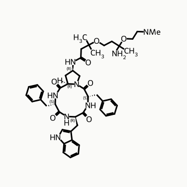 CNCCOC(C)(N)CCOC(C)(C)CC(=O)N[C@@H]1C[C@@H]2C(=O)N[C@@H](Cc3ccccc3)C(=O)N[C@H](Cc3c[nH]c4ccccc34)C(=O)N[C@@H](Cc3ccccc3)C(=O)N2C1